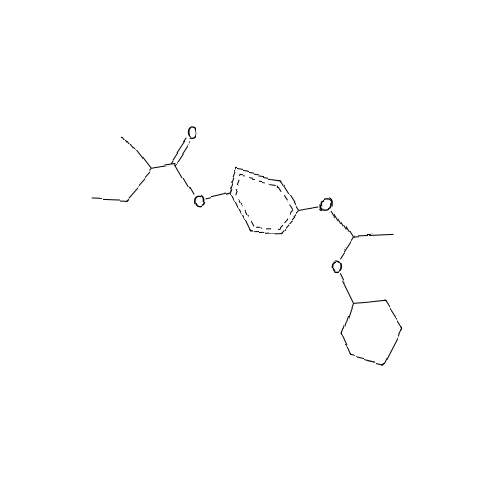 CCC(C)C(=O)Oc1ccc(OC(C)OC2CCCCC2)cc1